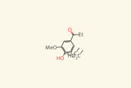 CC(=O)O.CC(=O)O.CCC(=O)c1ccc(O)c(OC)c1